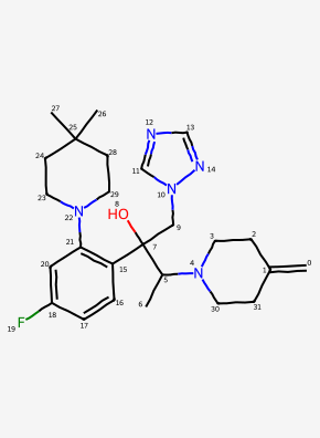 C=C1CCN(C(C)C(O)(Cn2cncn2)c2ccc(F)cc2N2CCC(C)(C)CC2)CC1